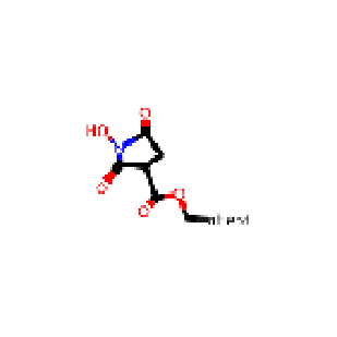 CCCCCCCCOC(=O)C1CC(=O)N(O)C1=O